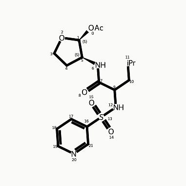 CC(=O)O[C@@H]1OCC[C@@H]1NC(=O)C(CC(C)C)NS(=O)(=O)c1cccnc1